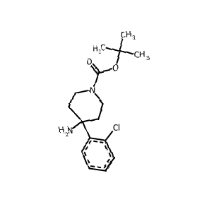 CC(C)(C)OC(=O)N1CCC(N)(c2ccccc2Cl)CC1